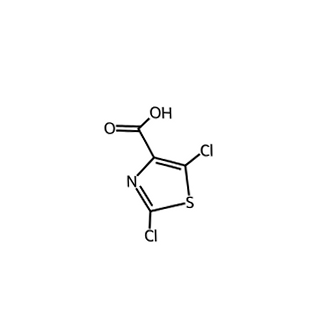 O=C(O)c1nc(Cl)sc1Cl